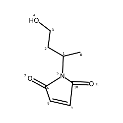 CC(CCO)N1C(=O)C=CC1=O